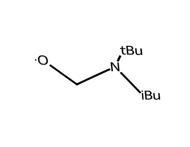 CCC(C)N(C[O])C(C)(C)C